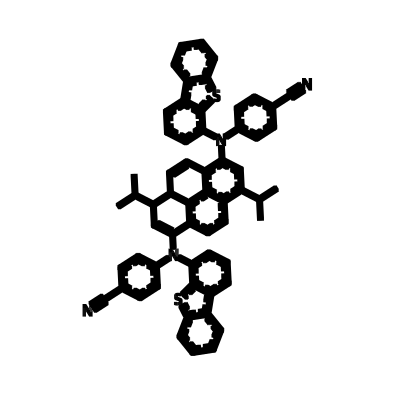 CC(C)c1cc(N(c2ccc(C#N)cc2)c2cccc3c2sc2ccccc23)c2c3c4c(ccc13)C(N(c1ccc(C#N)cc1)c1cccc3c1sc1ccccc13)=CC(C(C)C)C4C=C2